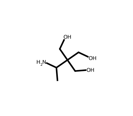 CC(N)C(CO)(CO)CO